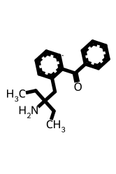 CCC(N)(CC)Cc1ccc[c]c1C(=O)c1ccccc1